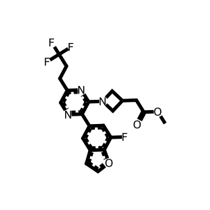 COC(=O)CC1CN(c2nc(CCC(F)(F)F)cnc2-c2cc(F)c3occc3c2)C1